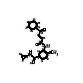 Cc1ccc(C(=O)NC2CC2)cc1NC(=O)/C=C/C(=O)c1ccccc1